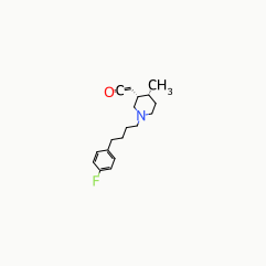 C[C@@H]1CCN(CCCCc2ccc(F)cc2)C[C@@H]1C=C=O